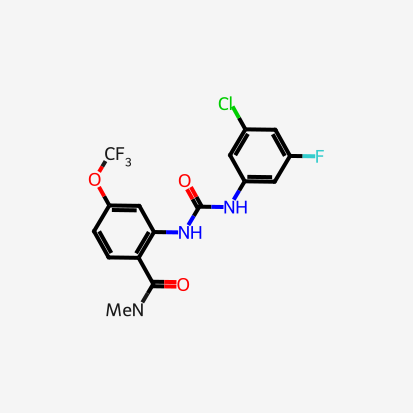 CNC(=O)c1ccc(OC(F)(F)F)cc1NC(=O)Nc1cc(F)cc(Cl)c1